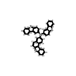 c1ccc2c(c1)sc1ccc(N(c3ccc4c(ccc5sc6ccccc6c54)c3)c3ccc4sc5ccccc5c4c3)cc12